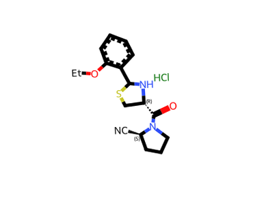 CCOc1ccccc1C1N[C@H](C(=O)N2CCC[C@H]2C#N)CS1.Cl